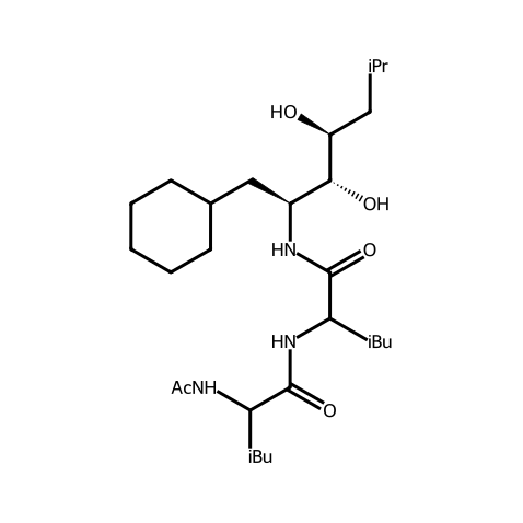 CCC(C)C(NC(C)=O)C(=O)NC(C(=O)N[C@@H](CC1CCCCC1)[C@@H](O)[C@@H](O)CC(C)C)C(C)CC